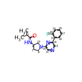 CC(C)C(=O)N[C@@H]1CCN(c2cncc(-c3ccccc3F)n2)C1